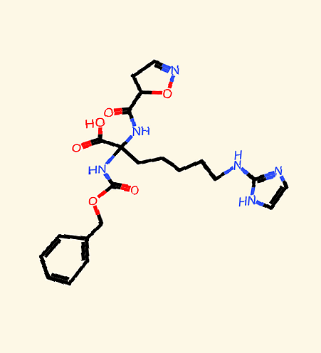 O=C(NC(CCCCCNc1ncc[nH]1)(NC(=O)C1CC=NO1)C(=O)O)OCc1ccccc1